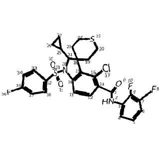 O=C(Nc1cccc(F)c1F)c1ccc2c(c1Cl)C1(CCSCC1)C(C1CC1)N2S(=O)(=O)c1ccc(F)cc1